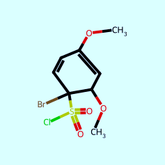 COC1=CC(OC)C(Br)(S(=O)(=O)Cl)C=C1